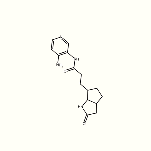 Nc1ccncc1NC(=O)CCC1CCC2CC(=O)NC12